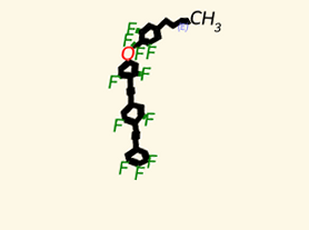 C/C=C/CCc1cc(F)c(C(F)(F)Oc2cc(F)c(C#Cc3cc(F)c(C#Cc4cc(F)c(F)c(F)c4)c(F)c3)c(F)c2)c(F)c1